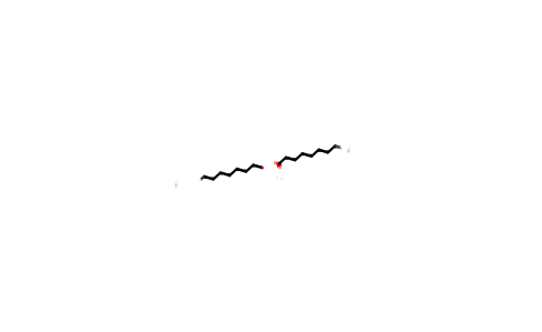 CCCCCCCCCCCCCCCCCCOC(=O)CCCCCCCCCCCCCCCCC.[Zn]